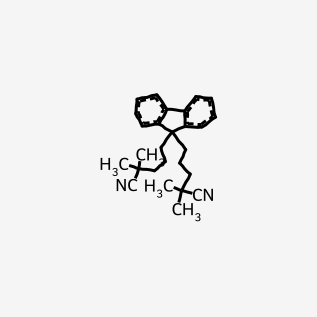 CC(C)(C#N)CCCC1(CCCC(C)(C)C#N)c2ccccc2-c2ccccc21